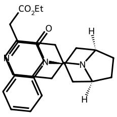 CCOC(=O)Cc1nc2ccccc2n([C@H]2C[C@H]3CC[C@@H](C2)N3C2CC3CCCC(C3)C2)c1=O